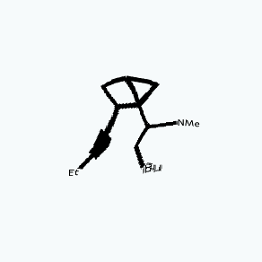 CCC#CC1CC2CC12C(CC(C)CC)NC